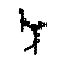 CCCCCCCCC(CCCCCC)COC(=O)CCCC(=O)OCC(C)(C)[C@@H](OC(=O)CCCC(=O)OCC(CCCCCC)OC(=O)CCCCC1CCSS1)C(=O)NCCC(=O)O